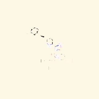 CC(C)(C)OC(=O)N1CC(O)CC1c1nc(-c2ccc(C#Cc3cccc(F)c3)cn2)no1